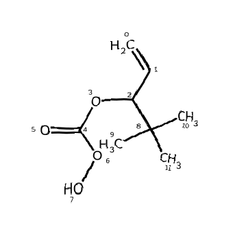 C=CC(OC(=O)OO)C(C)(C)C